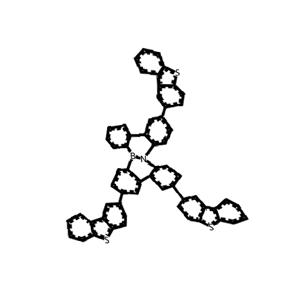 c1ccc2c(c1)B1c3ccc(-c4ccc5sc6ccccc6c5c4)cc3-c3cc(-c4ccc5sc6ccccc6c5c4)ccc3N1c1ccc(-c3ccc4sc5ccccc5c4c3)cc1-2